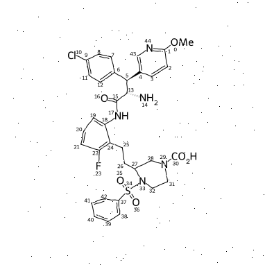 COc1ccc([C@H](c2ccc(Cl)cc2)[C@H](N)C(=O)Nc2cccc(F)c2CCC2CN(C(=O)O)CCN2S(=O)(=O)c2ccccc2)cn1